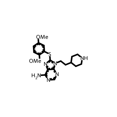 COc1ccc(OC)c(Sc2nc3c(N)ncnc3n2CCC2CCNCC2)c1